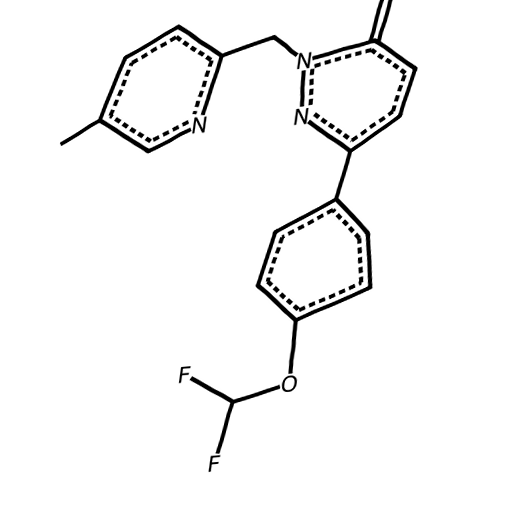 Cc1ccc(Cn2nc(-c3ccc(OC(F)F)cc3)ccc2=O)nc1